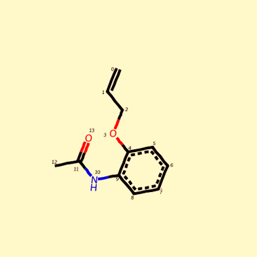 C=CCOc1cc[c]cc1NC(C)=O